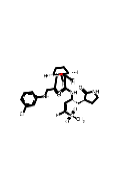 CS(=O)(=O)/C(F)=C\[C@@H](C[C@@H]1CCNC1=O)NC(=O)[C@H]1[C@@H]2CC[C@@H](CC2(F)F)N1C(=O)CNc1cccc(Cl)c1